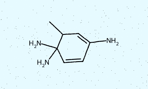 CC1C=C(N)C=CC1(N)N